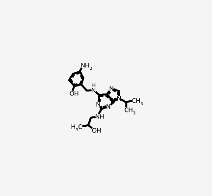 CC(O)CNc1nc(NCc2cc(N)ccc2O)c2ncn(C(C)C)c2n1